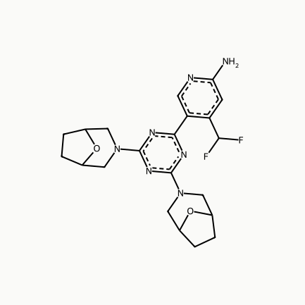 Nc1cc(C(F)F)c(-c2nc(N3CC4CCC(C3)O4)nc(N3CC4CCC(C3)O4)n2)cn1